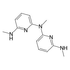 CNc1cccc(N(C)c2cccc(NC)n2)n1